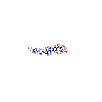 CN(CC(C)(C)O)C(=O)c1ccc(Nc2ncnc3c2c(F)cn3C2CCN(c3noc(C(F)(F)F)n3)CC2)c(F)c1